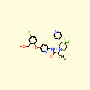 C[C@@H](C(=O)Nc1ccc(Oc2ccc(F)cc2CO)cn1)N1CCC(F)(F)[C@@H](c2ccncc2)C1